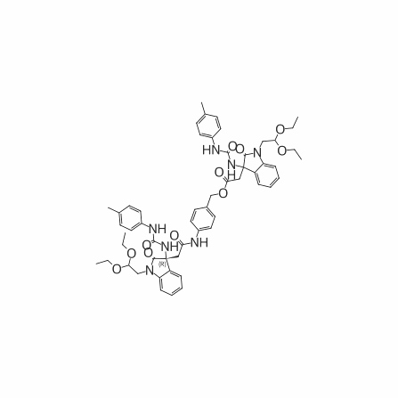 CCOC(CN1C(=O)C(CC(=O)OCc2ccc(NC(=O)C[C@]3(NC(=O)Nc4ccc(C)cc4)C(=O)N(CC(OCC)OCC)c4ccccc43)cc2)(NC(=O)Nc2ccc(C)cc2)c2ccccc21)OCC